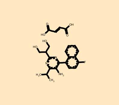 CC(C)c1nc(C(CO)CO)nc(-c2ccc(F)c3ccccc23)c1N.O=C(O)C=CC(=O)O